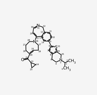 CC(C)N1CCc2cc(-c3ccc4c(c3)C(N3CC/C=C(\C(=O)C5CC5)CCC3)=CC=NC4)sc2C1